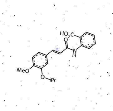 COc1ccc(/C=C/C(=O)Nc2ccccc2C(=O)O)cc1OC(C)C